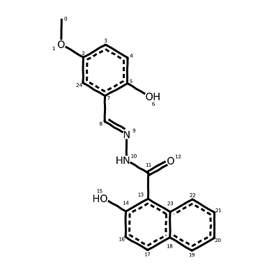 COc1ccc(O)c(/C=N/NC(=O)c2c(O)ccc3ccccc23)c1